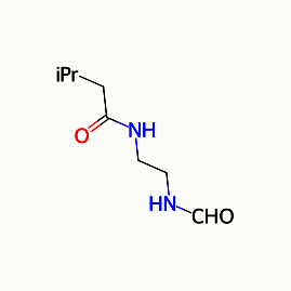 CC(C)CC(=O)NCCNC=O